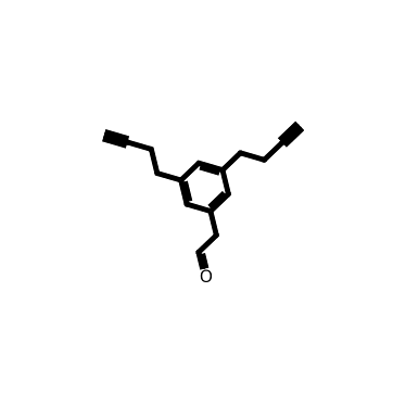 C#CCCc1cc(CC=O)cc(CCC#C)c1